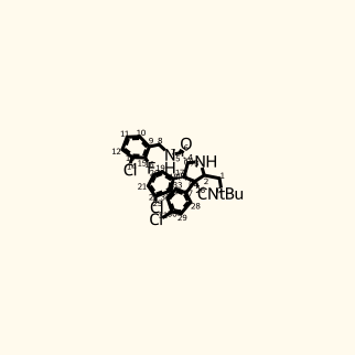 CC(C)(C)CC1N[C@@H](C(=O)NCc2cccc(Cl)c2F)[C@H](c2cccc(Cl)c2)[C@@]1(C#N)c1ccc(Cl)cc1